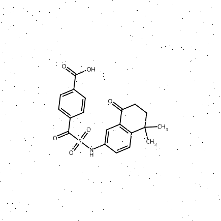 CC1(C)CCC(=O)c2cc(NS(=O)(=O)C(=O)c3ccc(C(=O)O)cc3)ccc21